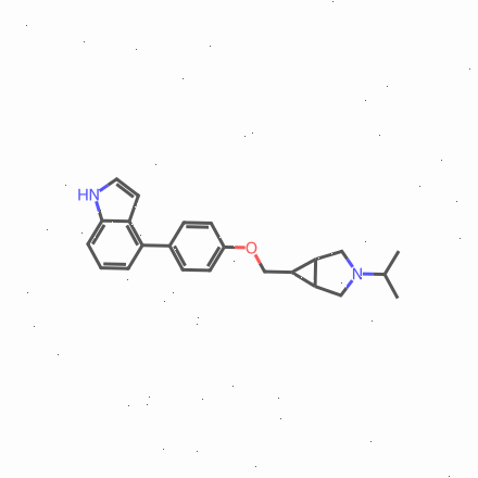 CC(C)N1CC2C(COc3ccc(-c4cccc5[nH]ccc45)cc3)C2C1